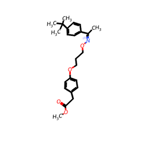 COC(=O)Cc1ccc(OCCCO/N=C(/C)c2ccc(C(C)(C)C)cc2)cc1